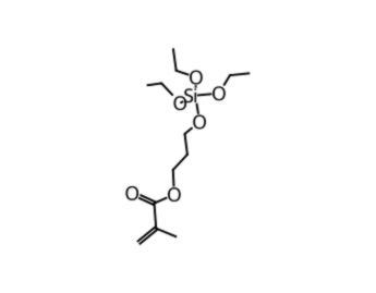 C=C(C)C(=O)OCCCO[Si](OCC)(OCC)OCC